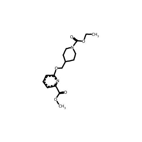 CCOC(=O)N1CCC(COc2cccc(C(=O)OC)n2)CC1